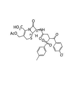 CC(=O)OCC1=C(C(=O)O)N2C(=O)[C@@H](NC(=O)CC(C(=O)c3ccc(Cl)cc3)S(=O)(=O)c3ccc(C)cc3)[C@H]2SC1